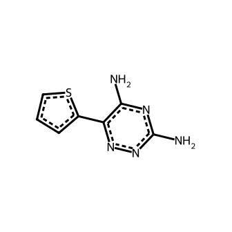 Nc1nnc(-c2cccs2)c(N)n1